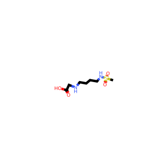 CS(=O)(=O)NCCCCNCC(=O)O